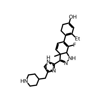 CCC1=C(C2=C(F)C3NN=C(c4nc(CC5CCNCC5)c[nH]4)C3(C)C=C2)CCC(O)=C1